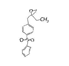 CCC1(Cc2ccc(S(=O)(=O)c3ccccc3)cc2)CO1